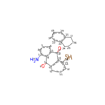 Nc1cccc2c1C(=O)c1cccc(S)c1C2=O.c1ccc2c(c1)CCCC2